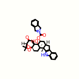 CC1(C)O[C@@]23CC[C@]4(C)[C@@]5(C)c6[nH]c7ccccc7c6C[C@@H]5C[C@H](OC(=O)N5Cc6ccccc6C5)[C@@]4(O)C2=CC(=O)[C@@H]1O3